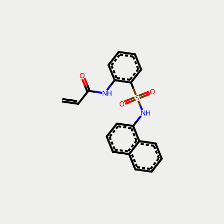 C=CC(=O)Nc1ccccc1S(=O)(=O)Nc1cccc2ccccc12